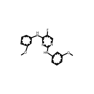 COc1cccc(Nc2ncc(F)c(Nc3cccc(OC)c3)n2)c1